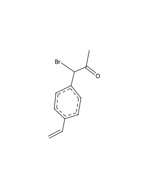 C=Cc1ccc(C(Br)C(C)=O)cc1